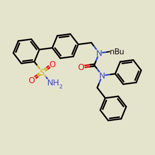 CCCCN(Cc1ccc(-c2ccccc2S(N)(=O)=O)cc1)C(=O)N(Cc1ccccc1)c1ccccc1